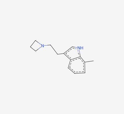 Cc1cccc2c(CCN3CCC3)c[nH]c12